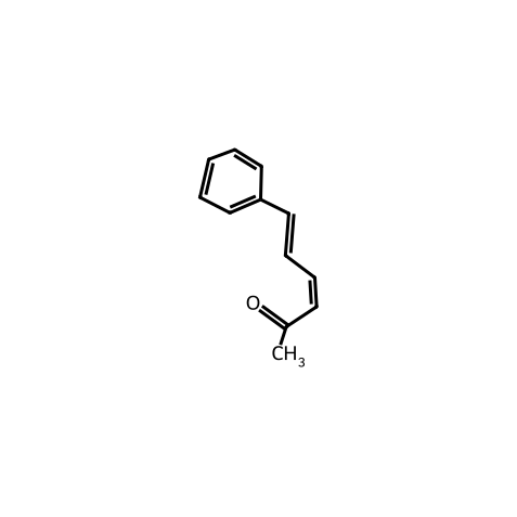 CC(=O)/C=C\C=C\c1ccccc1